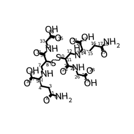 NC(=O)CC[C@H](NCC(SSC(CN[C@@H](CCC(N)=O)C(=O)O)C(=O)NCC(=O)O)C(=O)NCC(=O)O)C(=O)O